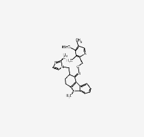 COc1c(C)cnc(CON=C2c3c(n(C)c4ccccc34)CCC2Cn2ccnc2C)c1C